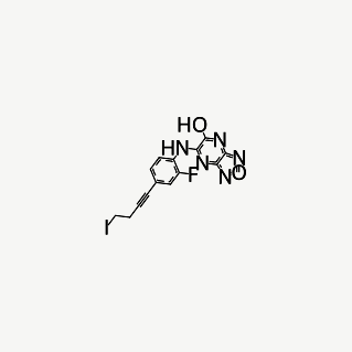 Oc1nc2nonc2nc1Nc1ccc(C#CCCI)cc1F